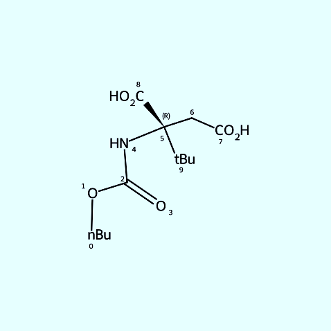 CCCCOC(=O)N[C@@](CC(=O)O)(C(=O)O)C(C)(C)C